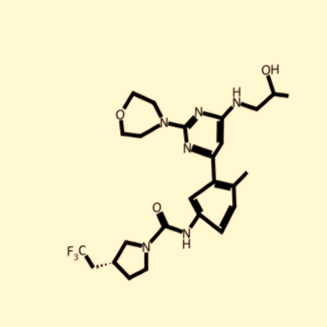 Cc1ccc(NC(=O)N2CC[C@H](CC(F)(F)F)C2)cc1-c1cc(NCC(C)O)nc(N2CCOCC2)n1